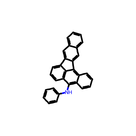 c1ccc(Nc2c3ccccc3c3c4c(cccc24)-c2cc4ccccc4cc2-3)cc1